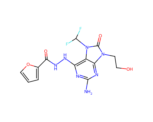 Nc1nc(NNC(=O)c2ccco2)c2c(n1)n(CCO)c(=O)n2C(F)F